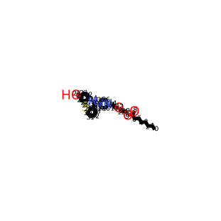 CCCCCCCC(=O)OCCOCCN1CCN(C2=Nc3ccc(O)cc3Sc3ccccc32)CC1